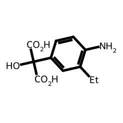 CCc1cc(C(O)(C(=O)O)C(=O)O)ccc1N